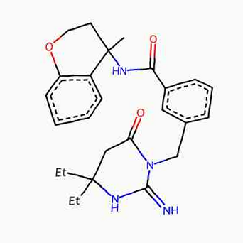 CCC1(CC)CC(=O)N(Cc2cccc(C(=O)NC3(C)CCOc4ccccc43)c2)C(=N)N1